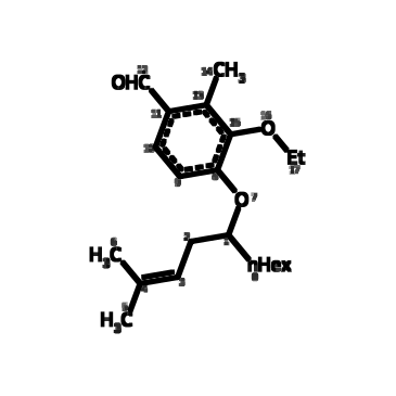 CCCCCCC(CC=C(C)C)Oc1ccc(C=O)c(C)c1OCC